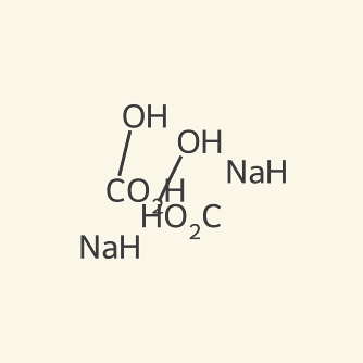 O=C(O)O.O=C(O)O.[NaH].[NaH]